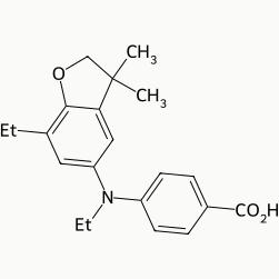 CCc1cc(N(CC)c2ccc(C(=O)O)cc2)cc2c1OCC2(C)C